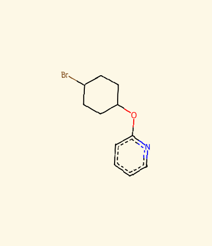 BrC1CCC(Oc2ccccn2)CC1